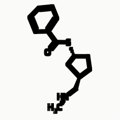 CNC[C@@H]1CC[C@@H](SC(=O)c2ccccc2)C1